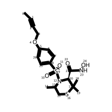 CC#CCOc1ccc(S(=O)(=O)N2C(C)CSC(C)(C)[C@@H]2C(=O)NO)cc1